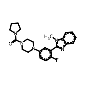 Cn1c(-c2cc(N3CCN(C(=O)N4CCCC4)CC3)ccc2F)nc2ccccc21